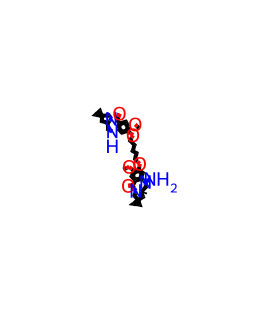 COc1cc2c(cc1OCCCCCOc1cc3c(cc1OC)C(=O)N1CC4(CC4)C[C@@]1(C)CN3N)NCC1CC3(CC3)CN1C2=O